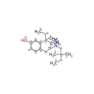 CCC(C)(C)CN1CCC2(CC)c3cc(O)ccc3CC1C2(C)C